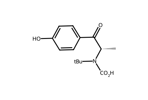 C[C@@H](C(=O)c1ccc(O)cc1)N(C(=O)O)C(C)(C)C